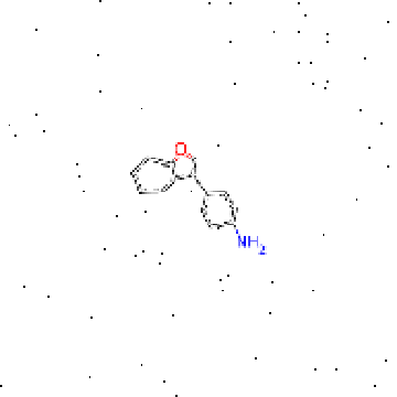 Nc1ccc(-c2coc3ccccc23)cc1